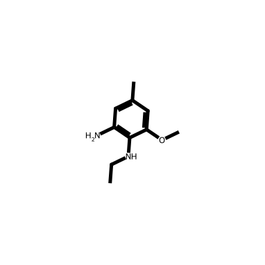 CCNc1c(N)cc(C)cc1OC